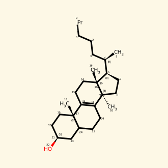 CC(C)CCC[C@@H](C)[C@H]1CC[C@@]2(C)C3=C(CC[C@]12C)[C@@]1(C)CC[C@H](O)CC1CC3